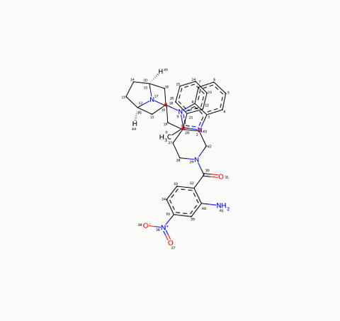 Cc1nc2ccccc2n1C1C[C@H]2CC[C@@H](C1)N2CCC1(c2ccccc2)CCN(C(=O)c2ccc([N+](=O)[O-])cc2N)CC1